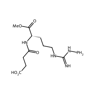 COC(=O)[C@H](CCCNC(=N)NP)NC(=O)CCC(=O)O